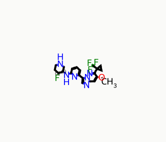 COc1cc2ncc(-c3cccc(N[C@H]4CNCC[C@@H]4F)n3)n2nc1C1(C(F)(F)F)CC1